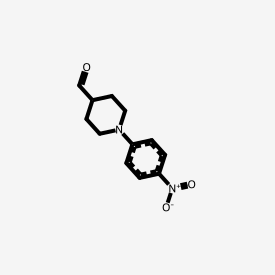 O=CC1CCN(c2ccc([N+](=O)[O-])cc2)CC1